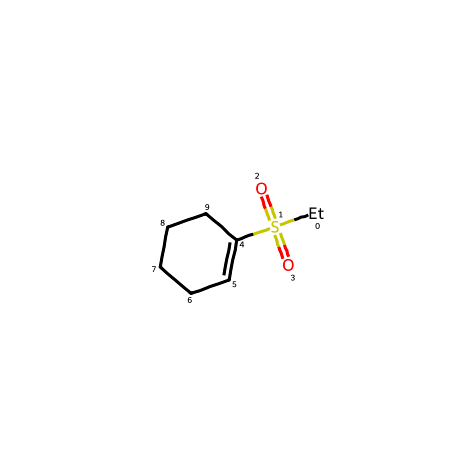 CCS(=O)(=O)C1=CCCCC1